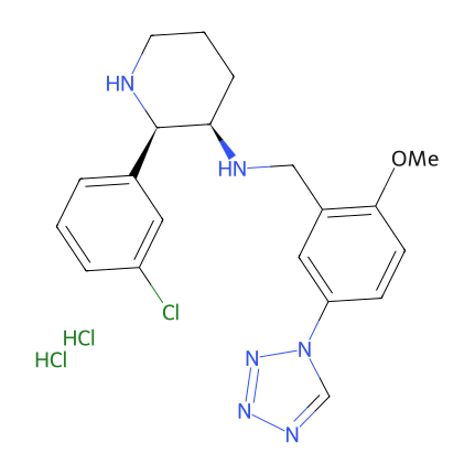 COc1ccc(-n2cnnn2)cc1CN[C@@H]1CCCN[C@@H]1c1cccc(Cl)c1.Cl.Cl